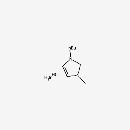 CCCCN1C=CN(C)C1.Cl.[InH3]